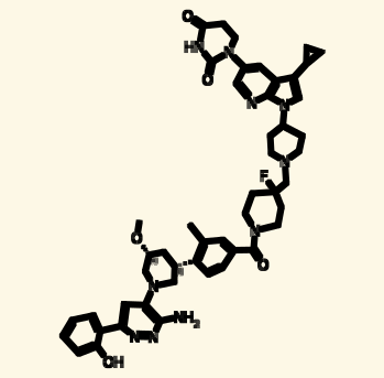 CO[C@@H]1C[C@H](c2ccc(C(=O)N3CCC(F)(CN4CCC(n5cc(C6CC6)c6cc(N7CCC(=O)NC7=O)cnc65)CC4)CC3)cc2C)CN(c2cc(-c3ccccc3O)nnc2N)C1